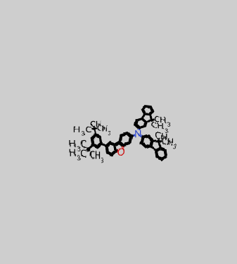 CC(C)(C)c1cc(-c2ccc3oc4cc(N(c5ccc6c(c5)C(C)(C)c5ccccc5-6)c5ccc6c(c5)C(C)(C)c5ccccc5-6)ccc4c3c2)cc(C(C)(C)C)c1